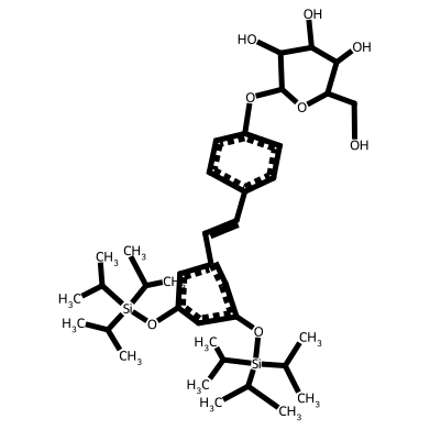 CC(C)[Si](Oc1cc(/C=C/c2ccc(OC3OC(CO)C(O)C(O)C3O)cc2)cc(O[Si](C(C)C)(C(C)C)C(C)C)c1)(C(C)C)C(C)C